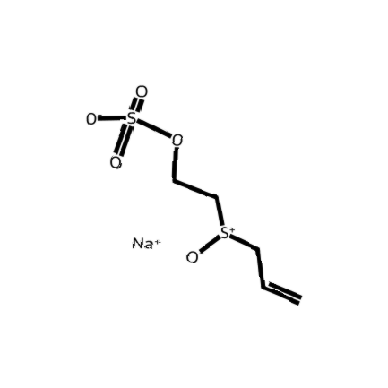 C=CC[S+]([O-])CCOS(=O)(=O)[O-].[Na+]